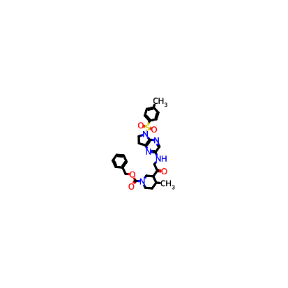 Cc1ccc(S(=O)(=O)N2CCc3nc(NCC(=O)C4CN(C(=O)OCc5ccccc5)CCC4C)cnc32)cc1